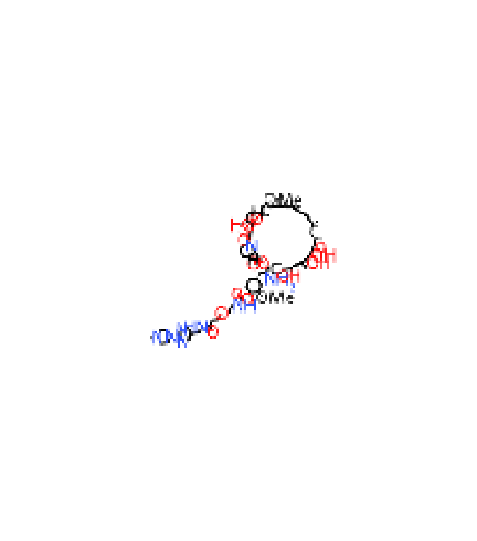 CO[C@H]1C[C@@H]2CC[C@@H](C)[C@@](O)(O2)C(=O)C(=O)N2CCCC[C@H]2C(=O)O[C@H]([C@H](N)C[C@@H]2CC[C@@H](OC(=O)NCCOCCC(=O)NCc3cnc(N4CCN(C)CC4)nc3)[C@H](OC)C2)C[C@@H](O)[C@H](C)/C=C(\C)[C@@H](O)[C@@H](O)C(=O)[C@H](C)C[C@H](C)/C=C/C=C/C=C/1C